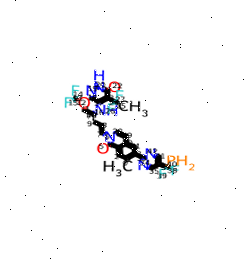 Cc1cc2c(=O)n(CCC[C@H](COC(F)F)Nc3cn[nH]c(=O)c3C(C)(F)F)ccc2cc1-c1ncc(C(F)(F)P)cn1